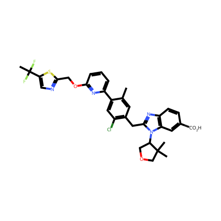 Cc1cc(Cc2nc3ccc(C(=O)O)cc3n2C2COCC2(C)C)c(Cl)cc1-c1cccc(OCc2ncc(C(C)(F)F)s2)n1